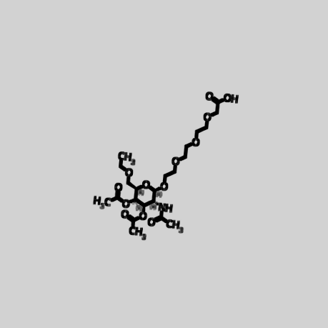 CCOC[C@H]1O[C@@H](OCCOCCOCCOCC(=O)O)[C@H](NC(C)=O)[C@@H](OC(C)=O)[C@H]1OC(C)=O